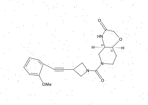 COc1ccccc1C#CC1CN(C(=O)N2CC[C@@H]3OCC(=O)N[C@@H]3C2)C1